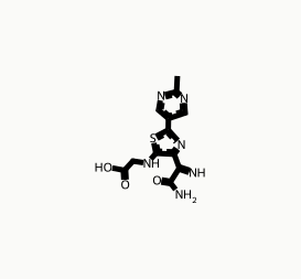 Cc1ncc(-c2nc(C(=N)C(N)=O)c(NCC(=O)O)s2)cn1